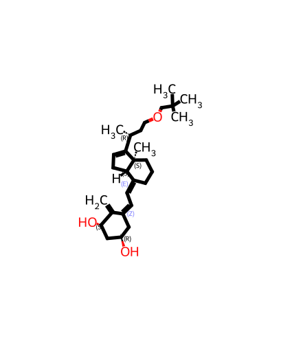 C=C1/C(=C\C=C2/CCC[C@]3(C)C([C@H](C)CCOCC(C)(C)C)=CC[C@@H]23)C[C@@H](O)C[C@@H]1O